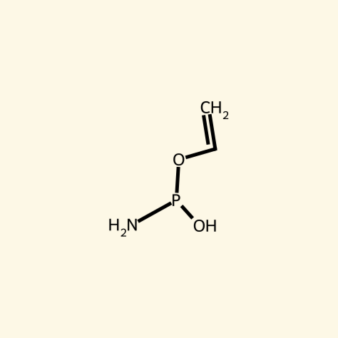 C=COP(N)O